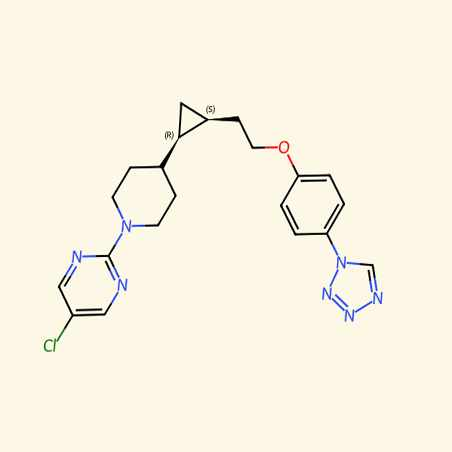 Clc1cnc(N2CCC([C@H]3C[C@H]3CCOc3ccc(-n4cnnn4)cc3)CC2)nc1